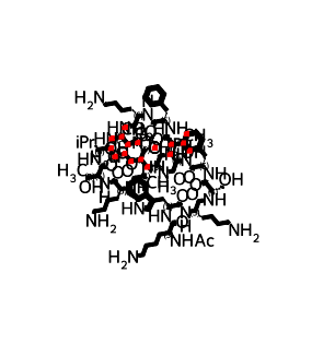 CC(=O)N[C@@H](CCCCN)C(=O)N[C@@H](Cc1c[nH]c2ccccc12)C(=O)N[C@@H](CCCCN)C(=O)N[C@@H](CO)C(=O)N[C@@H](Cc1ccccc1)C(=O)N[C@@H](CC(C)C)C(=O)N[C@@H](CCCCN)C(=O)N[C@H](C(=O)N[C@@H](Cc1ccccc1)C(=O)N[C@@H](CCCCN)C(=O)N[C@@H](CO)C(=O)N[C@@H](C)C(=O)N[C@@H](C)C(=O)N[C@@H](CCCCN)C(=O)N[C@H](C(=O)N[C@H](C(=O)N[C@@H](CC(C)C)C(=O)O)C(C)C)[C@@H](C)O)[C@@H](C)O